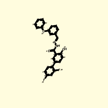 O=C(NN=Cc1cccc(Oc2ccccc2)c1)c1cc(-c2ccc(F)cc2F)ccc1O